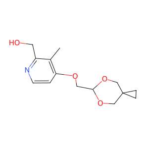 Cc1c(OCC2OCC3(CC3)CO2)ccnc1CO